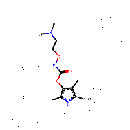 CCN(CC)CCONC(=O)Oc1c(C)[nH]c(C=O)c1C